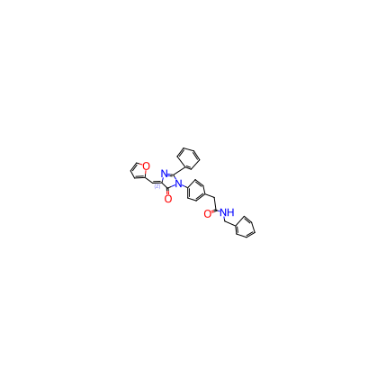 O=C(Cc1ccc(N2C(=O)/C(=C/c3ccco3)N=C2c2ccccc2)cc1)NCc1ccccc1